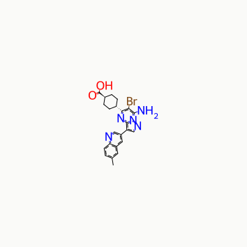 Cc1ccc2ncc(-c3cnn4c(N)c(Br)c([C@H]5CC[C@H](C(=O)O)CC5)nc34)cc2c1